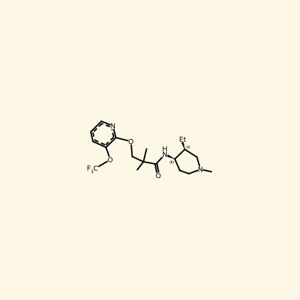 CC[C@H]1CN(C)CC[C@H]1NC(=O)C(C)(C)COc1ncccc1OC(F)(F)F